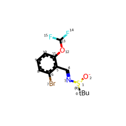 CC(C)(C)[S@+]([O-])N=Cc1c(Br)cccc1OC(F)F